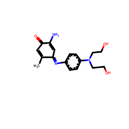 CC1=CC(=O)C(N)=CC1=Nc1ccc(N(CCO)CCO)cc1